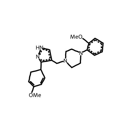 COC1=CCC(c2n[nH]cc2CN2CCN(c3ccccc3OC)CC2)C=C1